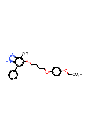 CCCc1c(OCCCCOc2ccc(OCC(=O)O)cc2)cc(-c2ccccc2)c2[nH]nnc12